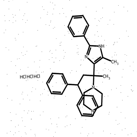 Cc1[nH]c(-c2ccccc2)nc1C(C)(CC(c1ccccc1)c1ccccc1)N1CCNCC1.Cl.Cl.Cl